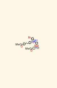 CCN(C1CCC(C(=O)OC)CC1)S(=O)(=O)c1cccc(C(=O)Nc2ccc(Br)cc2Nc2ccc(CCc3ccc(C(=O)OC)cc3)cc2)c1